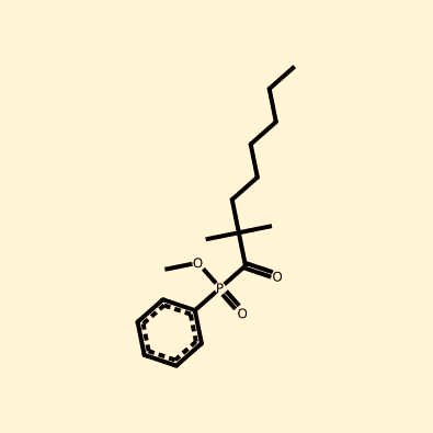 CCCCCCC(C)(C)C(=O)P(=O)(OC)c1ccccc1